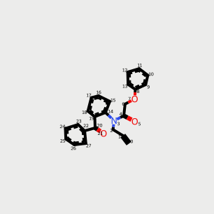 C#CCN(C(=O)COc1ccccc1)c1ccccc1C(=O)c1ccccc1